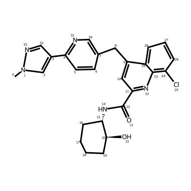 Cn1cc(-c2ccc(Cc3cc(C(=O)N[C@H]4CCCC[C@@H]4O)nc4c(Cl)cccc34)cn2)cn1